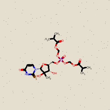 CC(C)C(=O)OCOP(=O)(OCOC(=O)C(C)C)OC[C@H]1O[C@@H](n2ccc(=O)[nH]c2=S)C(C)(O)[C@H]1O